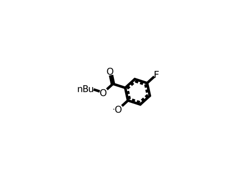 CCCCOC(=O)c1cc(F)ccc1[O]